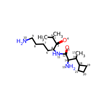 CC(C)C(=O)[C@H](CCCCN)NC(=O)C(N)C(C)C1CCC1